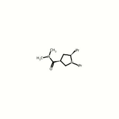 CC(C)[C@@H]1C[C@H](C(=O)N(C)C)CN1C(C)C